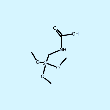 CO[Si](CNC(=O)O)(OC)OC